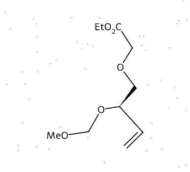 C=C[C@H](COCC(=O)OCC)OCOC